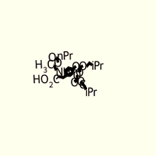 CCCC(=O)OC(C)CN[C@@H](Cc1ccc(OC(=O)OCCC(C)C)c(OC(=O)OCCC(C)C)c1)C(=O)O